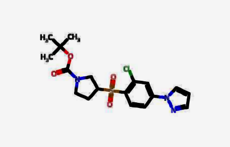 CC(C)(C)OC(=O)N1CCC(S(=O)(=O)c2ccc(-n3cccn3)cc2Cl)C1